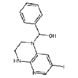 OC(c1ccccc1)N1CCNc2ncc(I)cc21